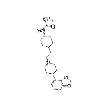 CC(=O)NC1CCC(CCN2CCC(c3cccc4c3OCO4)CC2)CC1